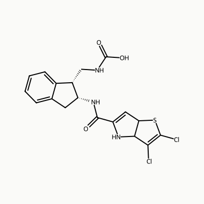 O=C(O)NC[C@H]1c2ccccc2C[C@H]1NC(=O)C1=CC2SC(Cl)=C(Cl)C2N1